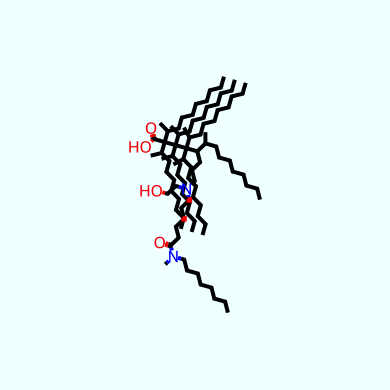 CCCCCCCCC(C)C(CCCN(CCO)CCCCCC(=O)N(C)CCCCCCCC)C(C(C)CCCCCCCC)(C(C)CCCCCCCC)C(C(C)CCCCCCCC)(C(C)CCCCCCCC)C(C(=O)O)(C(C)CCCCCCCC)C(C)CCCCCCCC